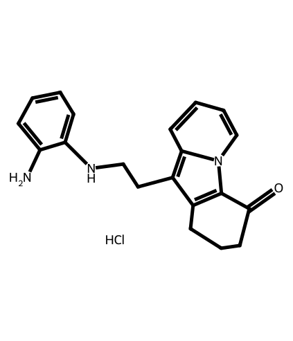 Cl.Nc1ccccc1NCCc1c2c(n3ccccc13)C(=O)CCC2